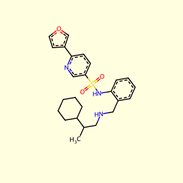 CC(CNCc1ccccc1NS(=O)(=O)c1ccc(-c2ccoc2)nc1)C1CCCCC1